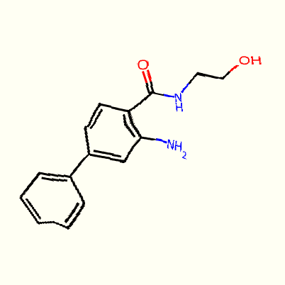 Nc1cc(-c2ccccc2)ccc1C(=O)NCCO